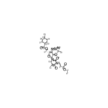 CCOC(=O)/C=C/n1c(=O)c(C)cn([C@@H]2O[C@H](COC(=O)c3ccc(C)cc3)[C@@H](N=[N+]=[N-])[C@H]2OCC)c1=O